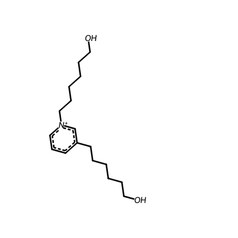 OCCCCCCc1ccc[n+](CCCCCCO)c1